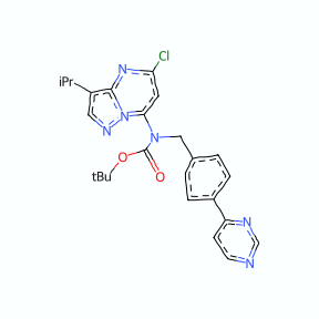 CC(C)c1cnn2c(N(Cc3ccc(-c4ccncn4)cc3)C(=O)OC(C)(C)C)cc(Cl)nc12